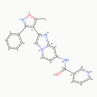 Cc1onc(-c2ccccc2)c1-c1cn2ccc(NC(=O)c3cccnc3)cc2n1